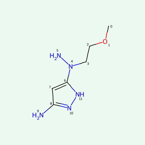 COCCN(N)c1cc(N)n[nH]1